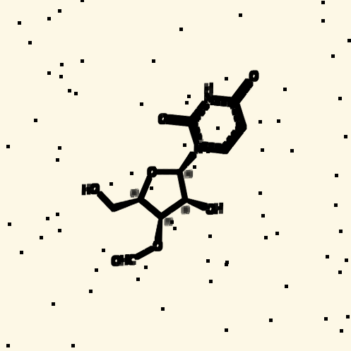 O=CO[C@@H]1[C@H](O)[C@H](n2ccc(=O)[nH]c2=O)O[C@@H]1CO